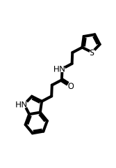 O=C(CCc1c[nH]c2ccccc12)NCCc1cccs1